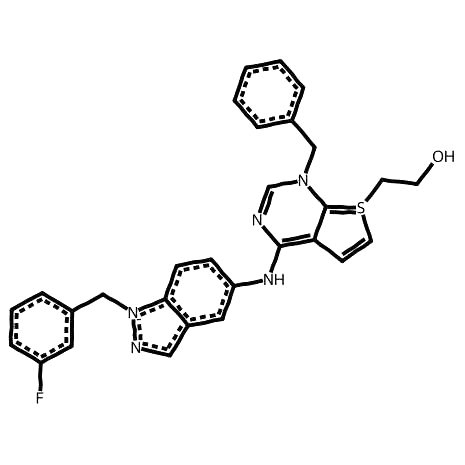 OCCS1=C2C(=C(Nc3ccc4c(cnn4Cc4cccc(F)c4)c3)N=CN2Cc2ccccc2)C=C1